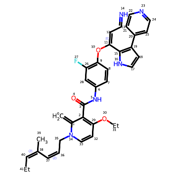 C=C1C(C(=O)Nc2ccc(O/C(=C/C=N)c3[nH]ccc3-c3ccncc3)c(F)c2)=C(OCC)C=CN1C/C=C\C(C)=C/CC